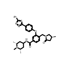 CC(C)c1nnc(-c2ccc(Oc3cc(C(=O)NC4C[C@@H](C)N(C)[C@@H](C)C4)ccc3CN3C[C@@H](C)CC3=O)cc2)s1